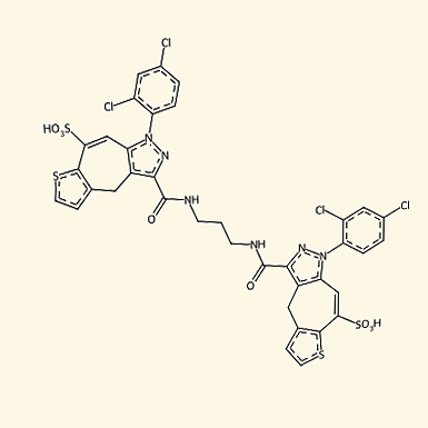 O=C(NCCCNC(=O)c1nn(-c2ccc(Cl)cc2Cl)c2c1Cc1ccsc1C(S(=O)(=O)O)=C2)c1nn(-c2ccc(Cl)cc2Cl)c2c1Cc1ccsc1C(S(=O)(=O)O)=C2